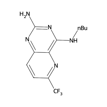 CCCCNc1nc(N)nc2ccc(C(F)(F)F)nc12